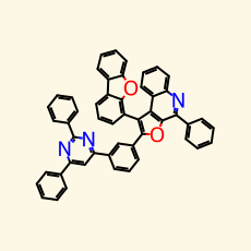 c1ccc(-c2cc(-c3cccc(-c4oc5c(-c6ccccc6)nc6ccccc6c5c4-c4cccc5c4oc4ccccc45)c3)nc(-c3ccccc3)n2)cc1